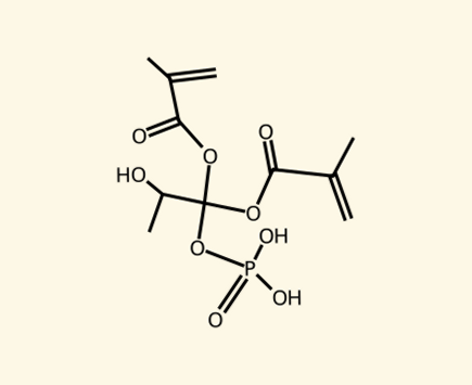 C=C(C)C(=O)OC(OC(=O)C(=C)C)(OP(=O)(O)O)C(C)O